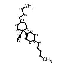 CCCCCC1CC=C(C2(C#N)CCC(CCCC)CC2)CC1